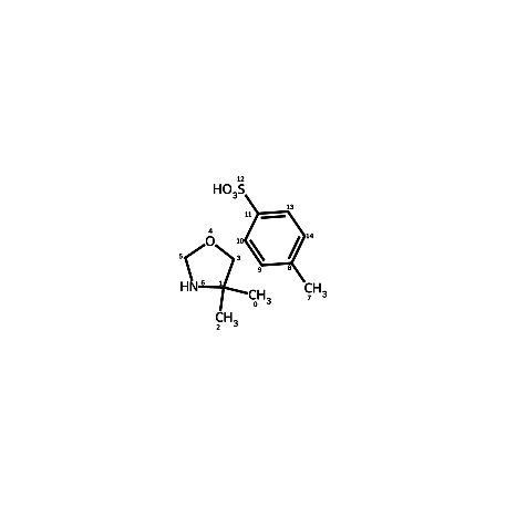 CC1(C)COCN1.Cc1ccc(S(=O)(=O)O)cc1